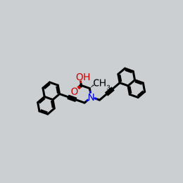 C[C@@H](C(=O)O)N(CC#Cc1cccc2ccccc12)CC#Cc1cccc2ccccc12